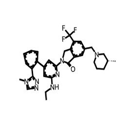 CCNc1cc(-c2ccccc2-c2nncn2C)cc(N2Cc3c(cc(CN4CCC[C@@H](C)C4)cc3C(F)(F)F)C2=O)n1